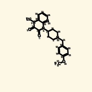 CCn1c(=O)c(=O)n(C2CCN(Cc3ccc(OC(F)(F)F)cc3)CC2)c2ncccc21